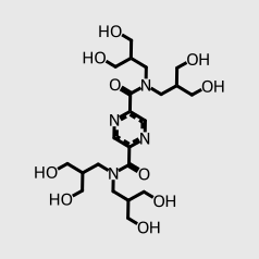 O=C(c1cnc(C(=O)N(CC(CO)CO)CC(CO)CO)cn1)N(CC(CO)CO)CC(CO)CO